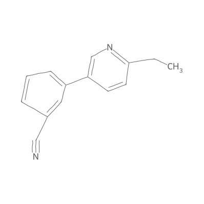 CCc1ccc(-c2cccc(C#N)c2)cn1